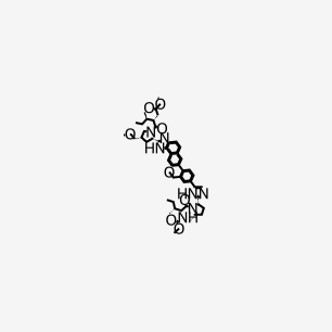 CC[C@@H](C)[C@H](CC(=O)OC)C(=O)N1C[C@@H](COC)C[C@H]1c1nc2ccc3cc4c(cc3c2[nH]1)OCc1cc(-c2cnc([C@@H]3CC[C@H](C)N3C(=O)[C@@H](NC(=O)OC)[C@H](C)CC)[nH]2)ccc1-4